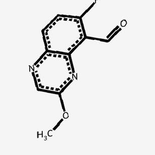 COc1cnc2ccc(F)c(C=O)c2n1